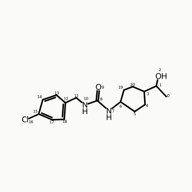 CC(O)C1CCC(NC(=O)NCc2ccc(Cl)cc2)CC1